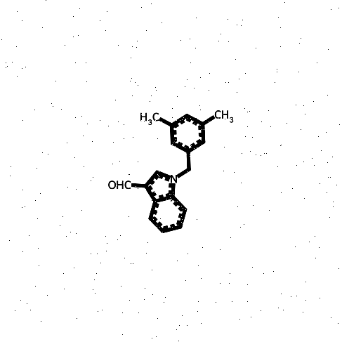 Cc1cc(C)cc(Cn2cc(C=O)c3ccccc32)c1